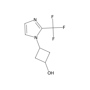 OC1CC(n2ccnc2C(F)(F)F)C1